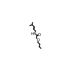 CCCCOCC(=O)NC/C=C/C(C)C